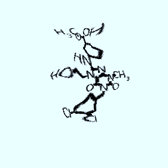 COC(O)C1CCCC(Nc2nc3c(c(=O)n(Cc4ccc(Cl)c(Cl)c4)c(=O)n3C)n2CCO)C1